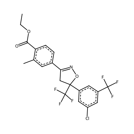 CCOC(=O)c1ccc(C2=NOC(c3cc(Cl)cc(C(F)(F)F)c3)(C(F)(F)F)C2)cc1C